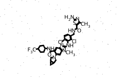 Cc1nc(N)sc1C(=O)NCc1ccc(Cl)c(Nc2nc3cc(C(=O)NC4CCC(C(F)(F)F)CC4)c(N4CC5CC5C4)cc3n2C)c1Cl